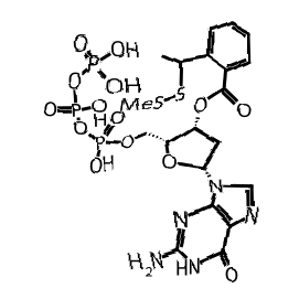 CSSC(C)c1ccccc1C(=O)O[C@@H]1C[C@H](n2cnc3c(=O)[nH]c(N)nc32)O[C@@H]1COP(=O)(O)OP(=O)(O)OP(=O)(O)O